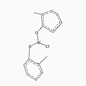 Cc1ccccc1[O][Al]([Cl])[O]c1ccccc1C